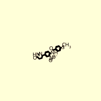 CSc1ccc(C(=O)Nc2ccc(C3=NNC(=O)CC3)cc2[N+](=O)[O-])cc1